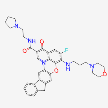 O=C(NCCN1CCCC1)c1cn2c3c(c(NCCCN4CCOCC4)c(F)cc3c1=O)Oc1cc3c(cc1-2)-c1ccccc1C3